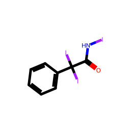 O=C(NI)C(I)(I)c1ccccc1